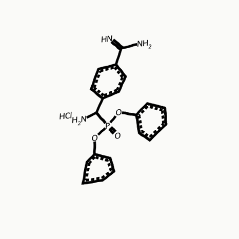 Cl.N=C(N)c1ccc(C(N)P(=O)(Oc2ccccc2)Oc2ccccc2)cc1